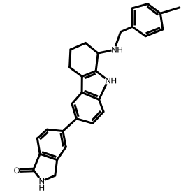 Cc1ccc(CNC2CCCc3c2[nH]c2ccc(-c4ccc5c(c4)CNC5=O)cc32)cc1